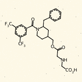 O=C(O)CNCC(=O)OCC1CCN(C(=O)c2cc(C(F)(F)F)cc(C(F)(F)F)c2)C(Cc2ccccc2)C1